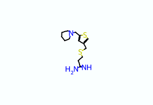 N=C(N)CCSCc1csc(CN2CCCCC2)c1